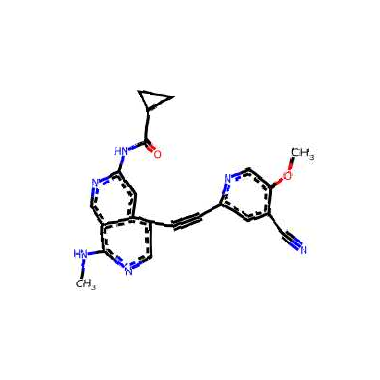 CNc1ncc(C#Cc2cc(C#N)c(OC)cn2)c2cc(NC(=O)C3CC3)ncc12